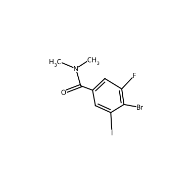 CN(C)C(=O)c1cc(F)c(Br)c(I)c1